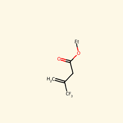 C=C(CC(=O)OCC)C(F)(F)F